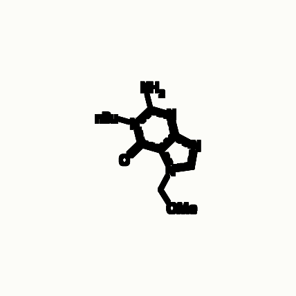 CCCCn1c(N)nc2ncn(COC)c2c1=O